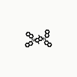 Cc1cc(N(c2ccc3ccccc3c2)c2ccc3ccccc3c2)cc2c(C)cc(N(c3ccc4ccccc4c3)c3ccc4ccccc4c3)cc12